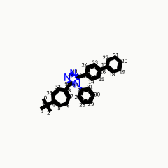 CC(C)(C)C1=CCC=C(c2nnc(-c3ccc(C4=CC=CCC4)cc3)n2-c2ccccc2)C=C1